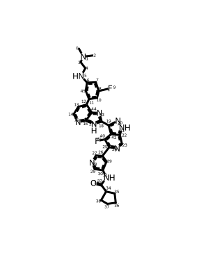 CN(C)CCNc1cc(F)cc(-c2ccnc3[nH]c(-c4n[nH]c5cnc(-c6cncc(NC(=O)C7CCCC7)c6)c(F)c45)nc23)c1